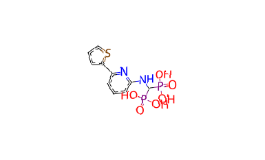 O=P(O)(O)C(Nc1cccc(-c2cccs2)n1)P(=O)(O)O